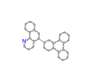 c1ccc2c(c1)cc(-c1ccc3c4ccccc4c4ccccc4c3c1)c1cccnc12